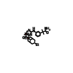 CCC1CC2CC(C(N)=O)CC(C1)C2Nc1nc(Nc2cccc(C(C)(C)C(N)=O)c2)ncc1C